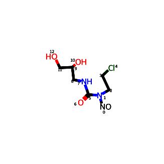 O=NN(CCCl)C(=O)NCC(O)CO